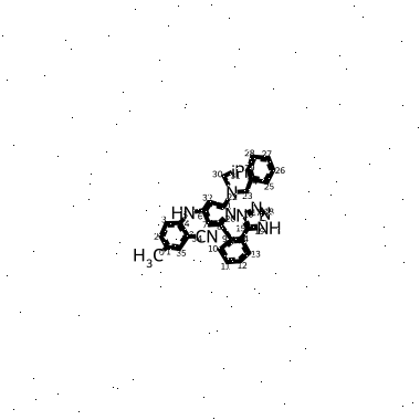 Cc1ccc(Nc2cc(-c3ccccc3-c3nnn[nH]3)nc(N(Cc3ccccc3)CC(C)C)c2)c(C#N)c1